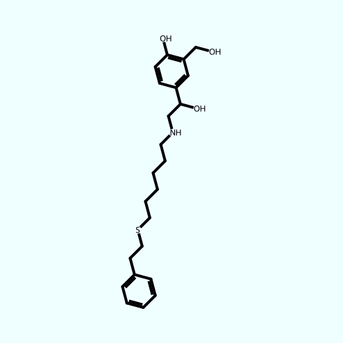 OCc1cc(C(O)CNCCCCCCSCCc2ccccc2)ccc1O